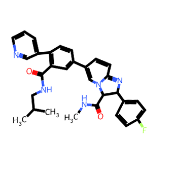 CNC(=O)C1C(c2ccc(F)cc2)N=C2C=CC(c3ccc(-c4cccnc4)c(C(=O)NCC(C)C)c3)=CN21